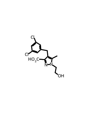 Cc1c(Cc2cc(Cl)cc(Cl)c2)c(C(=O)O)nn1CCO